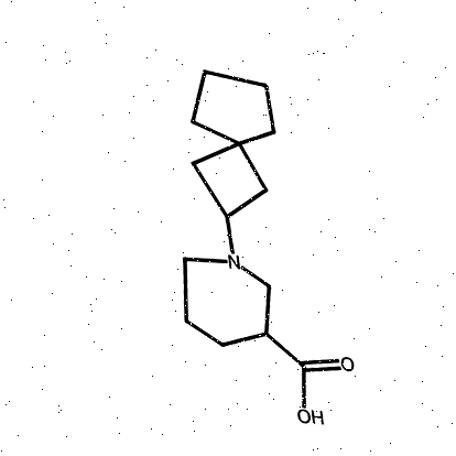 O=C(O)C1CCCN(C2CC3(CCCC3)C2)C1